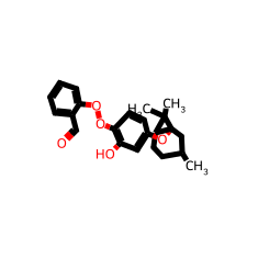 CC1CCC2C(C)(C)C2(Oc2ccc(OOc3ccccc3C=O)c(O)c2)C1